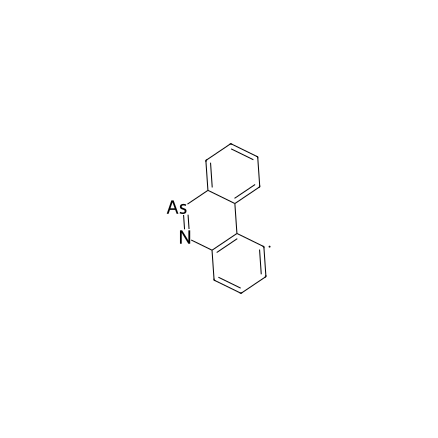 [c]1cccc2c1-c1ccccc1[As]=N2